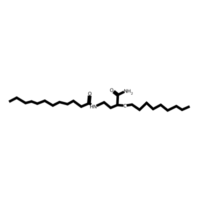 CCCCCCCCCCCC(=O)NCCC(CCCCCCCCCC)C(N)=O